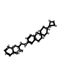 O=c1cccnn1CC(O)COc1ccc2c(c1)CCC1(CCN(C3CCC3)CC1)O2